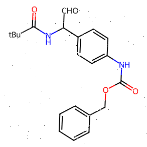 CC(C)(C)C(=O)NC([C]=O)c1ccc(NC(=O)OCc2ccccc2)cc1